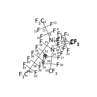 FC(F)(F)C(F)(F)C(F)(F)N(C(F)(F)C(F)(F)C(F)(F)F)C(F)(N(C(F)(F)C(F)(F)C(F)(F)F)C(F)(F)C(F)(F)C(F)(F)F)C(F)(F)C(F)(F)C(F)(F)C(F)(F)C(F)(F)F